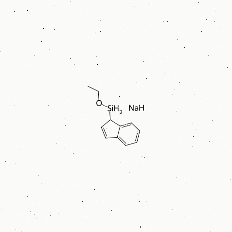 CCO[SiH2]C1C=Cc2ccccc21.[NaH]